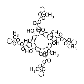 CCC1(OC(=O)COC(=O)c2ccc(C3c4cc(c(OC)cc4O)C(c4ccc(C(=O)OCC(=O)OC5(CC)CCCCC5)cc4)c4cc(c(OC)cc4O)C(c4ccc(C(=O)OCC(=O)OC5(CC)CCCCC5)cc4)c4cc(c(CO)cc4O)C(c4ccc(C(=O)OCC(=O)OC5(CC)CCCCC5)cc4)c4cc3c(CO)cc4O)cc2)CCCCC1